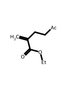 C=C(CCC(C)=O)C(=O)OCC